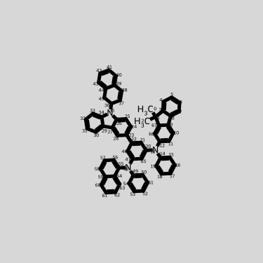 CC1(C)c2ccccc2-c2ccc(N(c3ccccc3)c3cc(-c4ccc5c(c4)c4ccccc4n5C4C=Cc5ccccc5C4)cc(N(c4ccccc4)c4cccc5ccccc45)c3)cc21